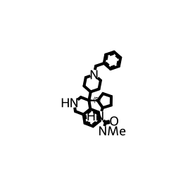 CNC(=O)NC1CCC[C@@H]1C1(C2CCN(Cc3ccccc3)CC2)CNCc2ccccc21